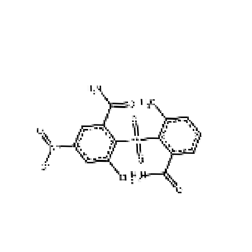 Cc1cccc(C(N)=O)c1S(=O)(=O)c1c(C)cc([N+](=O)[O-])cc1C(N)=O